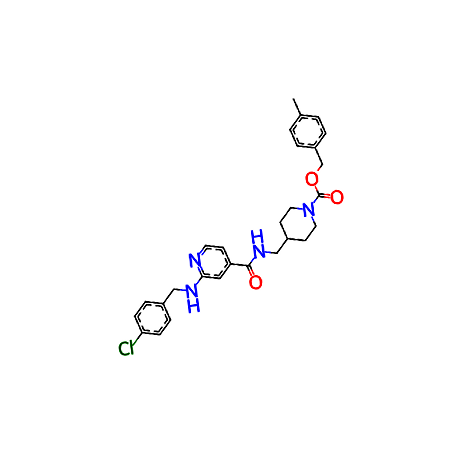 Cc1ccc(COC(=O)N2CCC(CNC(=O)c3ccnc(NCc4ccc(Cl)cc4)c3)CC2)cc1